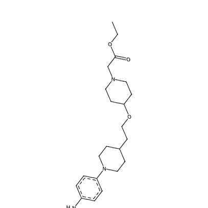 CCOC(=O)CN1CCC(OCCC2CCN(c3ccc(N)cc3)CC2)CC1